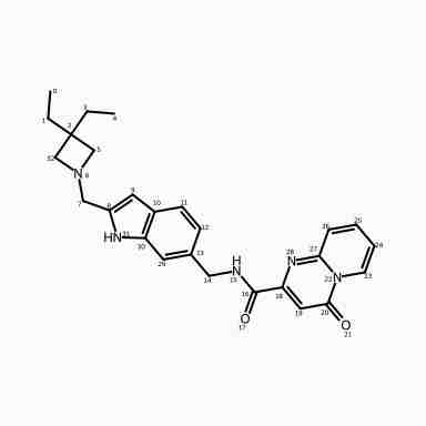 CCC1(CC)CN(Cc2cc3ccc(CNC(=O)c4cc(=O)n5ccccc5n4)cc3[nH]2)C1